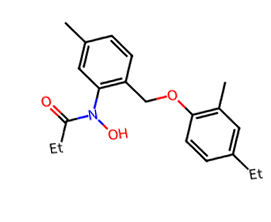 CCC(=O)N(O)c1cc(C)ccc1COc1ccc(CC)cc1C